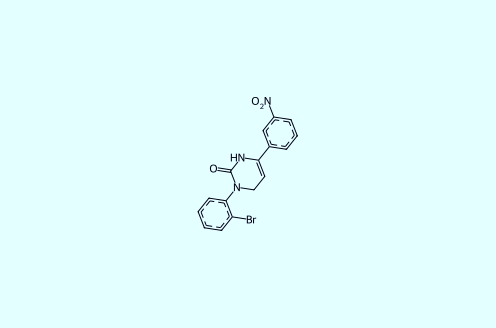 O=C1NC(c2cccc([N+](=O)[O-])c2)=CCN1c1ccccc1Br